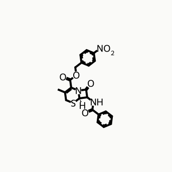 CC1=C(C(=O)OCc2ccc([N+](=O)[O-])cc2)N2C(=O)C(NC(=O)c3ccccc3)[C@H]2SC1